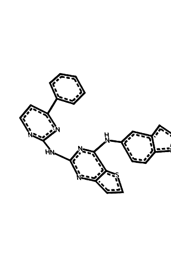 c1ccc(-c2ccnc(Nc3nc(Nc4ccc5[nH]ncc5c4)c4sccc4n3)n2)cc1